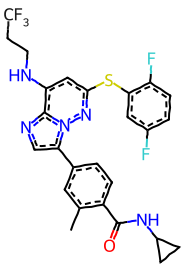 Cc1cc(-c2cnc3c(NCCC(F)(F)F)cc(Sc4cc(F)ccc4F)nn23)ccc1C(=O)NC1CC1